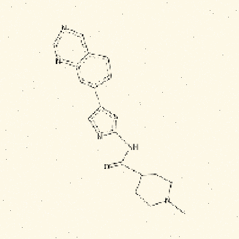 CN1CCC(C(=O)Nc2ncc(-c3ccc4cncnc4c3)s2)CC1